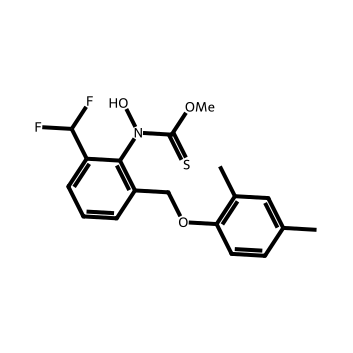 COC(=S)N(O)c1c(COc2ccc(C)cc2C)cccc1C(F)F